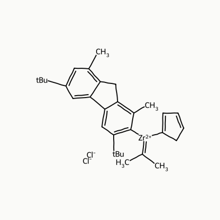 C[C](C)=[Zr+2]([C]1=CC=CC1)[c]1c(C(C)(C)C)cc2c(c1C)Cc1c(C)cc(C(C)(C)C)cc1-2.[Cl-].[Cl-]